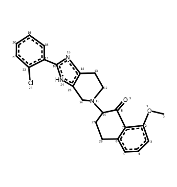 COc1cccc2c1C(=O)C(N1CCc3nc(-c4ccccc4Cl)[nH]c3C1)CC2